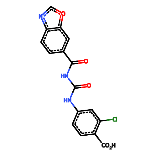 O=C(NC(=O)c1ccc2ncoc2c1)Nc1ccc(C(=O)O)c(Cl)c1